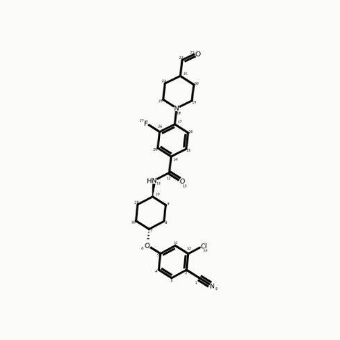 N#Cc1ccc(O[C@H]2CC[C@H](NC(=O)c3ccc(N4CCC(C=O)CC4)c(F)c3)CC2)cc1Cl